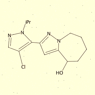 CC(C)n1ncc(Cl)c1-c1cc2n(n1)CCCCC2O